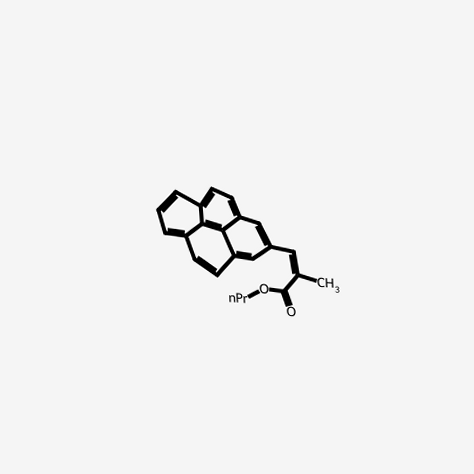 CCCOC(=O)C(C)=Cc1cc2ccc3cccc4ccc(c1)c2c34